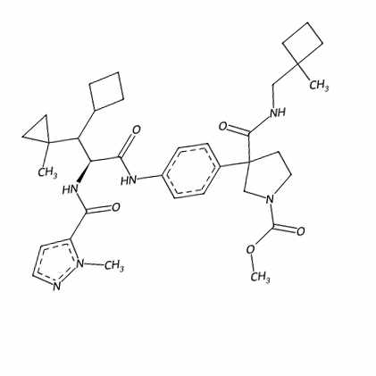 COC(=O)N1CCC(C(=O)NCC2(C)CCC2)(c2ccc(NC(=O)[C@@H](NC(=O)c3ccnn3C)C(C3CCC3)C3(C)CC3)cc2)C1